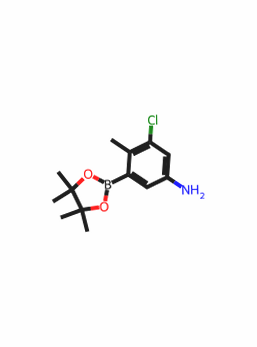 Cc1c(Cl)cc(N)cc1B1OC(C)(C)C(C)(C)O1